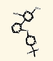 COc1ccc(-c2cccnc2Oc2ccc(C(C)(F)F)nc2)c(OC)n1